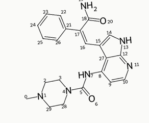 CN1CCN(C(=O)Nc2ccnc3[nH]cc(C=C(C(N)=O)c4ccccc4)c23)CC1